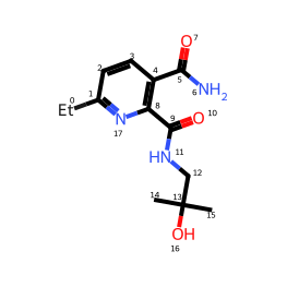 CCc1ccc(C(N)=O)c(C(=O)NCC(C)(C)O)n1